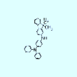 CC1(C)c2ccccc2-c2ccc(Nc3ccc(N(c4ccccc4)c4ccccc4)cc3)cc21